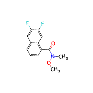 CON(C)C(=O)c1cccc2cc(F)c(F)cc12